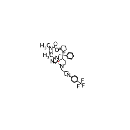 CNC(=O)O[C@@H]1CCC[C@H]1C(Cn1ccnc1C)(c1ccccc1)C1CCN(CC2CN(c3ccc(C(F)(F)F)cc3)C2)CC1